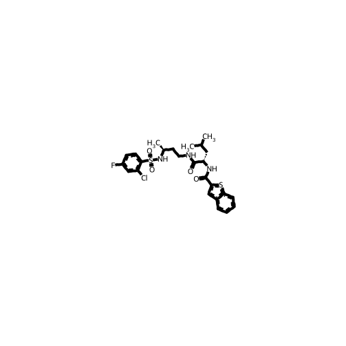 CC(C)C[C@H](NC(=O)c1cc2ccccc2s1)C(=O)NCC[C@H](C)NS(=O)(=O)c1ccc(F)cc1Cl